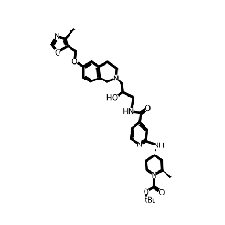 Cc1ncoc1COc1ccc2c(c1)CCN(CC(O)CNC(=O)c1ccnc(N[C@H]3CCN(C(=O)OC(C)(C)C)[C@H](C)C3)c1)C2